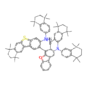 CC1(C)CCC(C)(C)c2cc(Nc3cc4sc5cc6c(cc5c4cc3-c3c4c(cc5c3oc3ccccc35)N(c3ccc5c(c3)C(C)(C)CCC5(C)C)c3cc5c(cc3B4)C(C)(C)CCC5(C)C)C(C)(C)CCC6(C)C)ccc21